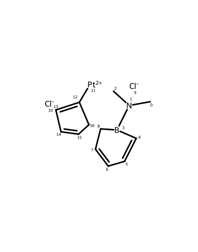 CN(C)B1C=CC=CC1.[Cl-].[Cl-].[Pt+2][C]1=CC=CC1